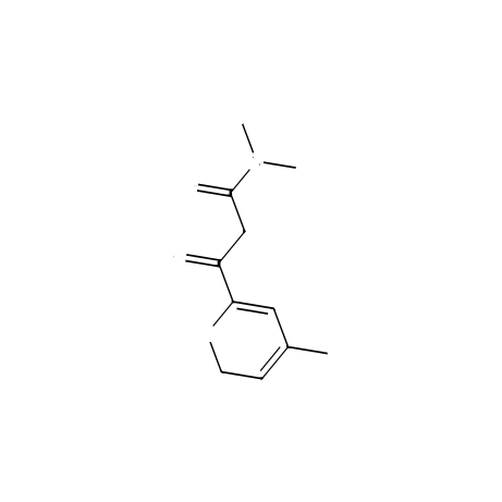 CC1=CCSC(C(=O)CC(=O)N(C)C)=C1